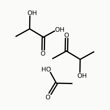 CC(=O)C(C)O.CC(=O)O.CC(O)C(=O)O